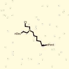 CCCCC/C=C\CCCCCN(CCCl)CCCCCCCCCCCC